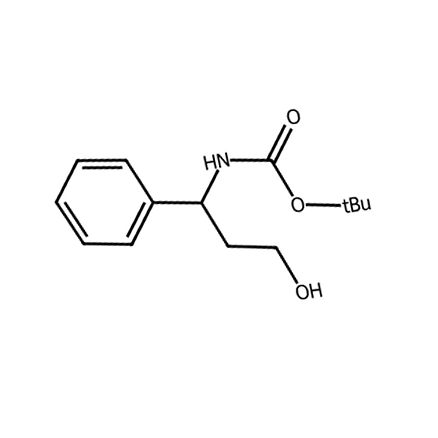 CC(C)(C)OC(=O)NC(CCO)c1ccccc1